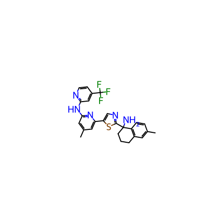 Cc1cc(Nc2cc(C(F)(F)F)ccn2)nc(-c2cnc(C3(N)CCCc4cc(C)ccc43)s2)c1